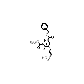 C[C@@H](NC(=O)OC(C)(C)C)[C@@H](C/C=C/C(=O)O)CNC(=O)OCc1ccccc1